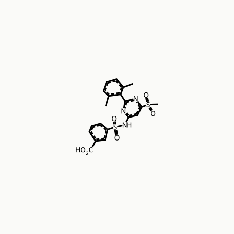 Cc1cccc(C)c1-c1nc(NS(=O)(=O)c2cccc(C(=O)O)c2)cc(S(C)(=O)=O)n1